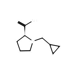 NC(=O)[C@@H]1[CH]CCN1CC1CC1